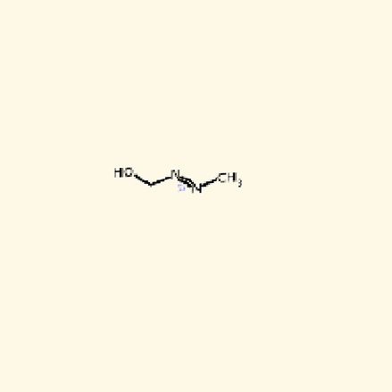 C/N=N/CO